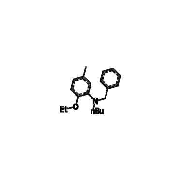 CCCCN(Cc1ccccc1)c1cc(C)ccc1OCC